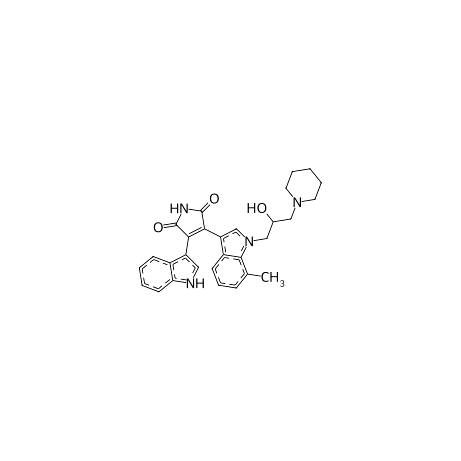 Cc1cccc2c(C3=C(c4c[nH]c5ccccc45)C(=O)NC3=O)cn(CC(O)CN3CCCCC3)c12